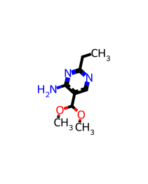 CCc1ncc(C(OC)OC)c(N)n1